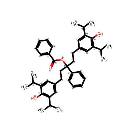 CC(C)c1cc(CCC(CCc2cc(C(C)C)c(O)c(C(C)C)c2)(OC(=O)c2ccccc2)c2ccccc2)cc(C(C)C)c1O